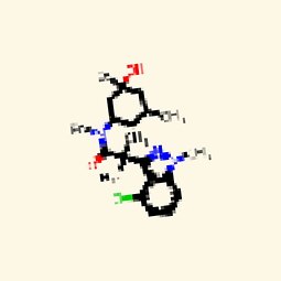 CCC1(O)CC(C)CC(N(C(=O)C(C)(C)c2nn(C)c3cccc(Cl)c23)C(C)C)C1